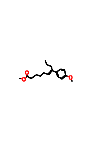 CCCC(=CCCCCC(=O)OC)c1ccc(OC)cc1